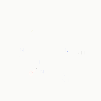 Cc1cc(-c2n[nH]c3c2CN(C(=O)N[C@@H]2CCN(Cc4csc5ccccc45)C2)CC3)ccn1